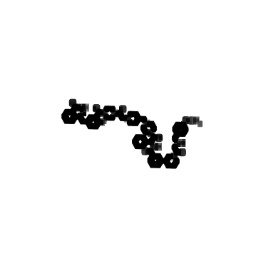 COC12CCC(CNCC(=O)N3CCCC(c4cccc(C(=O)N[C@@H](C(=O)N5CCN(CC6CCN(CC(=O)N7CCN(C(=O)c8cc(Cc9n[nH]c(=O)c%10ccccc9%10)ccc8F)CC7)CC6)CC5)C5CCCCC5)c4)C3)(CC1)OC2